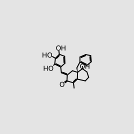 CC1=C2CCC[C@H](O)[C@@]2(Cc2ccccc2)CC(=Cc2ccc(O)c(O)c2O)C1=O